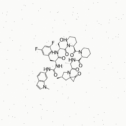 C[C@H]1CN(C(=O)[C@H](C)NC(=O)[C@@H]2CCCCN2C(=O)[C@@H]2CCCCN2C(=O)[C@H](CO)NC(=O)[C@H](Cc2cc(F)cc(F)c2)NC(=O)Nc2ccc3ccn(C)c3c2)C2(CC2=O)C1